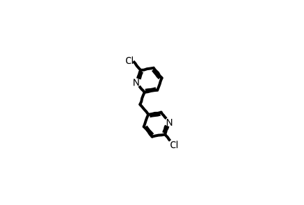 Clc1ccc(Cc2cccc(Cl)n2)cn1